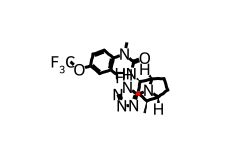 C[C@H]1C[C@H](NC(=O)N(C)c2ccc(OC(F)(F)F)cc2F)[C@@H]2CC[C@H]1N2c1nnn[nH]1